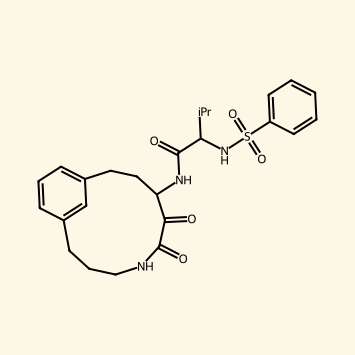 CC(C)C(NS(=O)(=O)c1ccccc1)C(=O)NC1CCc2cccc(c2)CCCNC(=O)C1=O